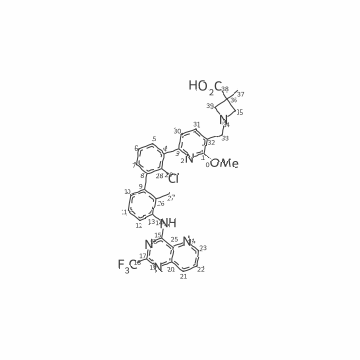 COc1nc(-c2cccc(-c3cccc(Nc4nc(C(F)(F)F)nc5cccnc45)c3C)c2Cl)ccc1CN1CC(C)(C(=O)O)C1